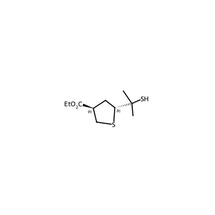 CCOC(=O)[C@@H]1CS[C@@H](C(C)(C)S)C1